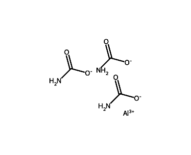 NC(=O)[O-].NC(=O)[O-].NC(=O)[O-].[Al+3]